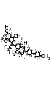 CC1=Nc2c(C)cc(C(c3cc(C)c4c(c3)C(C)(C(F)(F)F)OC(c3ccc(-c5ccc(C)cc5)cc3)=N4)C(F)(F)F)cc2C(C)(C(F)(F)F)O1